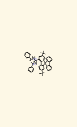 C=C(/N=C(\N=C(/C)c1ccccc1)c1cc(C(C)(C)C)cc2c1-c1ccc(C(C)(C)C)cc1C21c2ccccc2-c2ccccc21)c1ccccc1